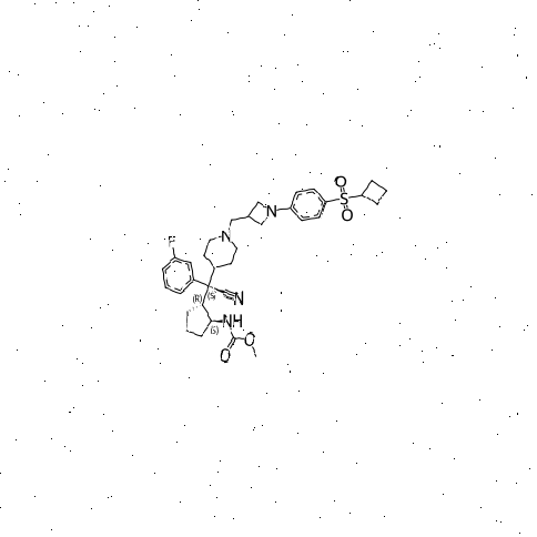 COC(=O)N[C@H]1CCC[C@@H]1[C@](C#N)(c1cccc(F)c1)C1CCN(CC2CN(c3ccc(S(=O)(=O)C4CCC4)cc3)C2)CC1